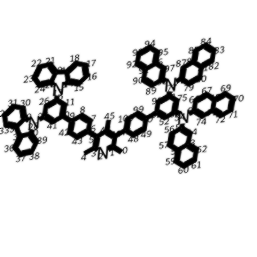 Cc1nc(C)c(-c2ccc(-c3cc(-n4c5ccccc5c5ccccc54)cc(-n4c5ccccc5c5ccccc54)c3)cc2)c(C)c1-c1ccc(-c2cc(N(c3ccc4ccccc4c3)c3ccc4ccccc4c3)cc(N(c3ccc4ccccc4c3)c3ccc4ccccc4c3)c2)cc1